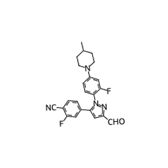 CC1CCN(c2ccc(-n3nc(C=O)cc3-c3ccc(C#N)c(F)c3)c(F)c2)CC1